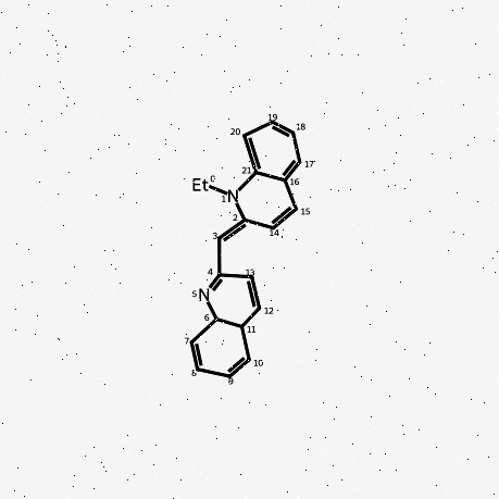 CCN1/C(=C/C2=NC3C=CC=CC3C=C2)C=Cc2ccccc21